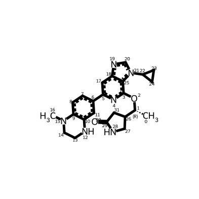 C[C@@H](Oc1nc(-c2ccc3c(c2)NCCN3C)cc2ncn(C3CC3)c12)C1CNC(=O)C1